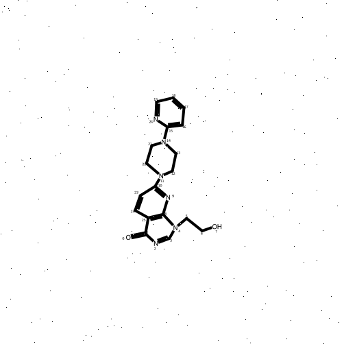 O=c1ncn(CCO)c2nc(N3CCN(c4ccccn4)CC3)ccc12